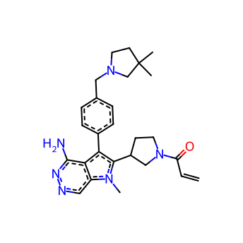 C=CC(=O)N1CCC(c2c(-c3ccc(CN4CCC(C)(C)C4)cc3)c3c(N)nncc3n2C)C1